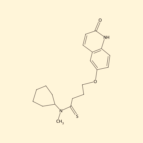 CN(C(=S)CCCOc1ccc2[nH]c(=O)ccc2c1)C1CCCCC1